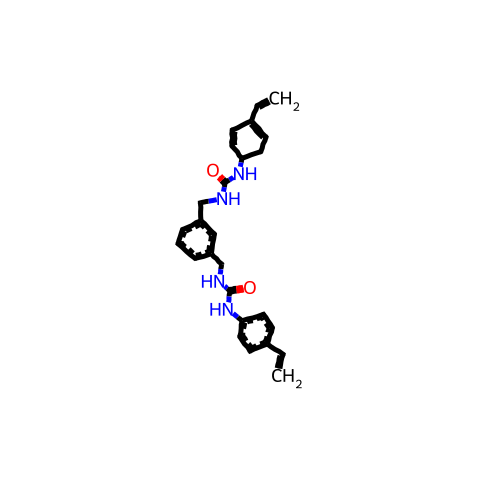 C=CC1=CCC(NC(=O)NCc2cccc(CNC(=O)Nc3ccc(C=C)cc3)c2)C=C1